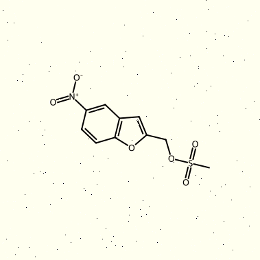 CS(=O)(=O)OCc1cc2cc([N+](=O)[O-])ccc2o1